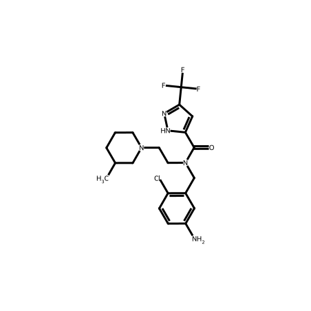 CC1CCCN(CCN(Cc2cc(N)ccc2Cl)C(=O)c2cc(C(F)(F)F)n[nH]2)C1